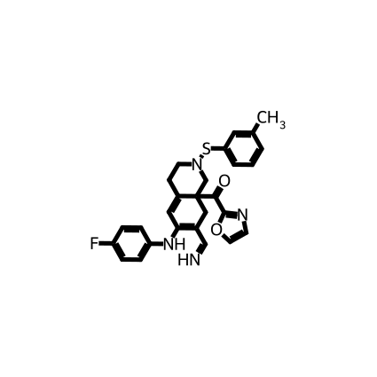 Cc1cccc(SN2CCC3=CC(Nc4ccc(F)cc4)=C(C=N)CC3(C(=O)c3ncco3)C2)c1